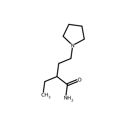 CCC(CCN1CCCC1)C(N)=O